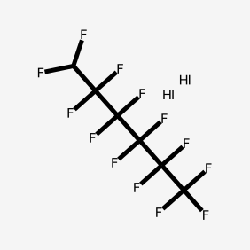 FC(F)C(F)(F)C(F)(F)C(F)(F)C(F)(F)C(F)(F)F.I.I